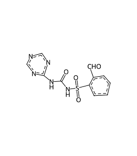 O=Cc1ccccc1S(=O)(=O)NC(=O)Nc1ncncn1